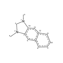 CN1CN(C)c2cc3ccccc3cc21